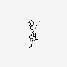 C=CCC[C@H]1C(=C)C[C@@H]2[C@@H]1CC[C@H]2C=C[C@H](CCCCC)OC1CCCCO1